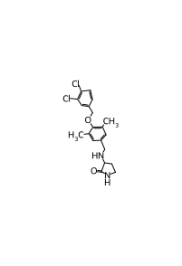 Cc1cc(CNC2CCNC2=O)cc(C)c1OCc1ccc(Cl)c(Cl)c1